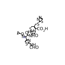 O=CNc1nc(/C(=N/OC2CC2)C(=O)N[C@@H]2C(=O)N3C(C(=O)O)=C(CSc4nncs4)CS[C@H]23)cs1